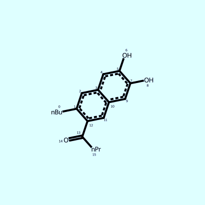 CCCCc1cc2cc(O)c(O)cc2cc1C(=O)CCC